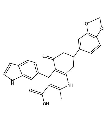 CC1=C(C(=O)O)C(c2ccc3cc[nH]c3c2)C2=C(CC(c3ccc4c(c3)OCO4)CC2=O)N1